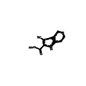 COC(=O)c1[nH]c2ccncc2c1C#N